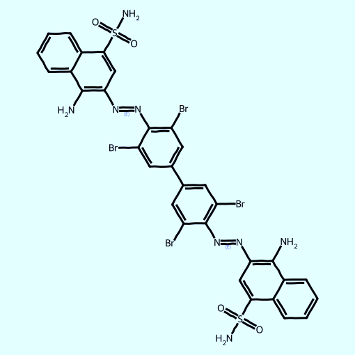 Nc1c(/N=N/c2c(Br)cc(-c3cc(Br)c(/N=N/c4cc(S(N)(=O)=O)c5ccccc5c4N)c(Br)c3)cc2Br)cc(S(N)(=O)=O)c2ccccc12